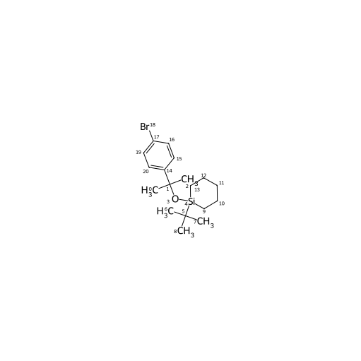 CC(C)(O[Si]1(C(C)(C)C)CCCCC1)c1ccc(Br)cc1